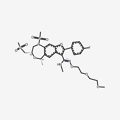 CN/C(=N\OCCOCCOC)c1c(-c2ccc(F)cc2)oc2cc3c(cc12)[C@H](C)O[C@H](CS(C)(=O)=O)CN3S(C)(=O)=O